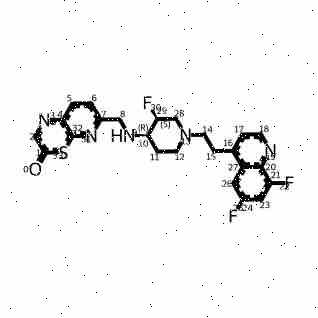 O=c1cnc2ccc(CN[C@@H]3CCN(CCc4ccnc5c(F)cc(F)cc45)C[C@@H]3F)nc2s1